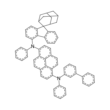 c1ccc(-c2cccc(N(c3ccccc3)c3ccc4ccc5c(N(c6ccccc6)c6cccc7c6-c6ccccc6C76C7CC8CC(C7)CC6C8)ccc6ccc3c4c65)c2)cc1